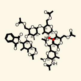 CO[C@H]1OC(COC(C)=O)[C@H](OC2OC(COC(C)=O)C(O[C@H]3OC(COC(C)=O)[C@H](OC4OC(COC(C)=O)C(O[C@@H]5O[C@@H](COC(C)=O)C(C)C(C)C5N5C(=O)c6ccccc6C5=O)[C@H](C)[C@@H]4C)C(C)[C@H]3NC(C)=O)[C@H](C)[C@@H]2C)C(C)[C@H]1NC(C)=O